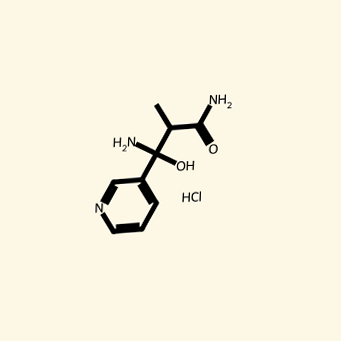 CC(C(N)=O)C(N)(O)c1cccnc1.Cl